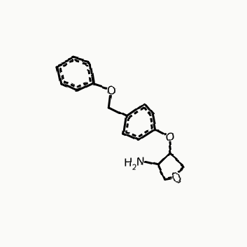 NC1COCC1Oc1ccc(COc2ccccc2)cc1